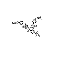 COc1ccc(Cc2cc(N(C(=O)c3ccc(C(N)=O)cc3)c3cc(-c4ccc(CN)cc4)[nH]n3)n[nH]2)cc1